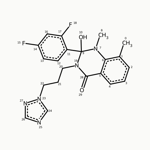 Cc1cccc2c1N(C)C(O)(c1ccc(F)cc1F)N(CCCn1cncn1)C2=O